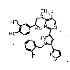 CN(CC(O)c1ccc(O)c(O)c1)c1nc(C2C=C(c3ccon3)N(Cc3ccccc3F)N2)ncc1F